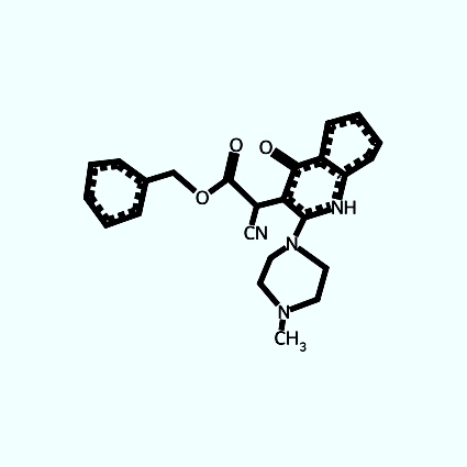 CN1CCN(c2[nH]c3ccccc3c(=O)c2C(C#N)C(=O)OCc2ccccc2)CC1